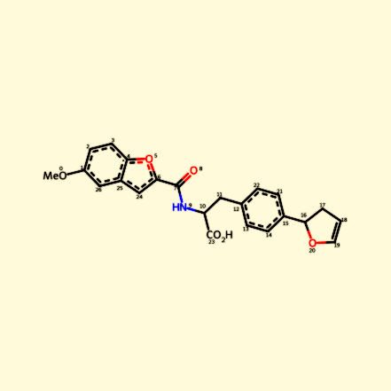 COc1ccc2oc(C(=O)NC(Cc3ccc(C4CC=CO4)cc3)C(=O)O)cc2c1